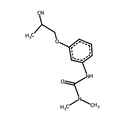 CC(C#N)COc1cccc(NC(=O)N(C)C)c1